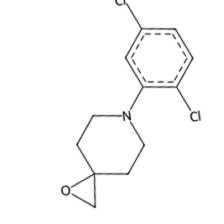 Clc1ccc(Cl)c(N2CCC3(CC2)CO3)c1